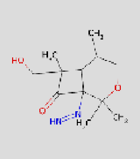 CC1COC(C)(C)C2(N=N)C(=O)C(C)(CO)C12